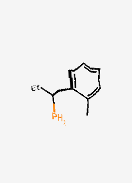 CCC(P)c1ccccc1C